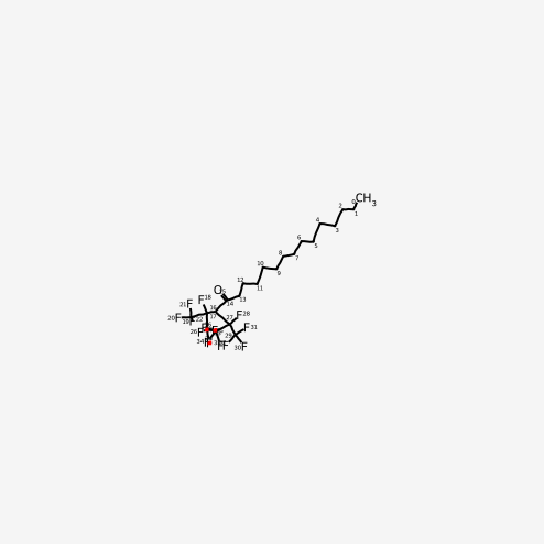 CCCCCCCCCCCCCCC(=O)C(C(F)(C(F)(F)F)C(F)(F)F)C(F)(C(F)(F)F)C(F)(F)F